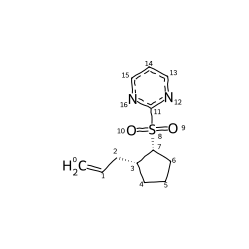 C=CC[C@H]1CCC[C@H]1S(=O)(=O)c1ncccn1